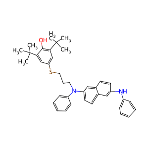 CC(C)(C)c1cc(SCCCN(c2ccccc2)c2ccc3cc(Nc4ccccc4)ccc3c2)cc(C(C)(C)C)c1O